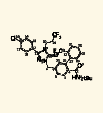 CC(C)(C)NC(=O)c1ccc(Cn2nc(-c3ccc(Cl)cc3)n(CCC(F)(F)F)c2=O)cc1-c1ccccc1C(F)(F)F